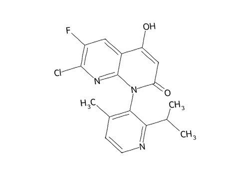 Cc1ccnc(C(C)C)c1-n1c(=O)cc(O)c2cc(F)c(Cl)nc21